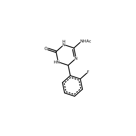 CC(=O)NC1=NC(c2ccccc2F)NC(=O)N1